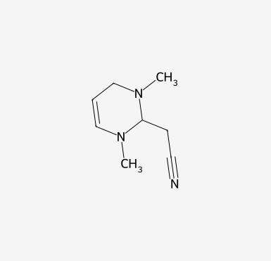 CN1C=CCN(C)C1CC#N